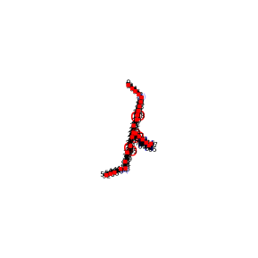 CCCCCCCC/C=C\CCCCCCCC(=O)OCCCCCCC(CCCCCCOC(=O)CCCCCCC/C=C\CCCCCCCCC)OC(=O)OCCN(CCN(CC)CC)C(C)C